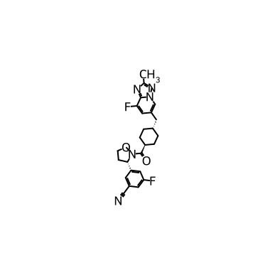 Cc1nc2c(F)cc(C[C@H]3CC[C@H](C(=O)N4OCC[C@H]4c4cc(F)cc(C#N)c4)CC3)cn2n1